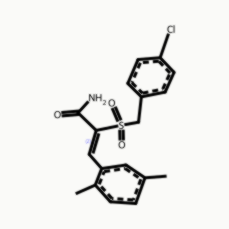 Cc1ccc(C)c(/C=C(/C(N)=O)S(=O)(=O)Cc2ccc(Cl)cc2)c1